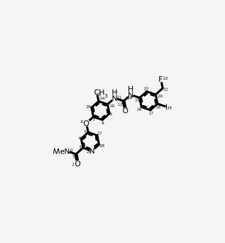 CNC(=O)c1cc(Oc2ccc(NC(=O)Nc3ccc(I)c(CF)c3)c(C)c2)ccn1